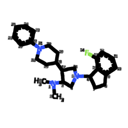 CN(C)C1CN(C2CCc3cccc(F)c32)CC1C1CCN(c2ccccc2)CC1